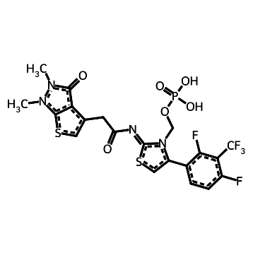 Cn1c(=O)c2c(CC(=O)/N=c3\scc(-c4ccc(F)c(C(F)(F)F)c4F)n3COP(=O)(O)O)csc2n1C